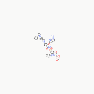 CC(C)c1ccccc1C1CCCN1C1CC2(C1)CN(c1ccc(C(=O)NS(=O)(=O)c3cc4c(c([N+](=O)[O-])c3)NC(C3COCCO3)CO4)c(Oc3cnc4[nH]ccc4c3)c1)C2